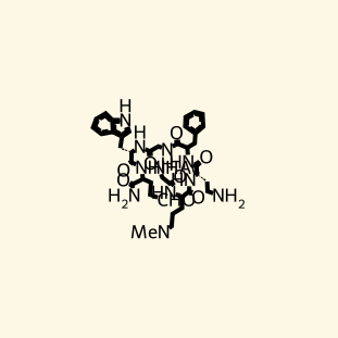 CNCCCC(NC(=O)CNC(C)=O)C(=O)N[C@@H](CCN)C(=O)NC(Cc1ccccc1)C(=O)NCC(=O)N[C@@H](Cc1c[nH]c2ccccc12)C(=O)NC(CCC=O)C(N)=O